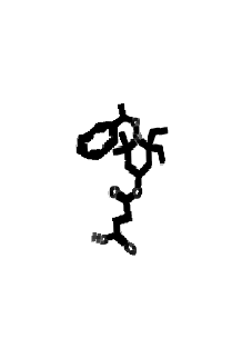 CCC1(CC)CC(OC(=O)CCC(=O)O)CC(C)(C)N1OC(C)c1ccccc1